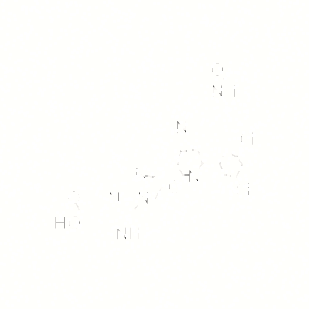 C=N/C=C(\C=N/CCN(CCNC)CC(C)C(=O)O)Oc1cc(CN2CCC(CNC(C)=O)CC2)cc(-c2cc(Cl)cc(Cl)c2)n1